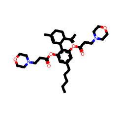 C=C(C)C1CCC(C)=CC1c1c(OC(=O)CCN2CCOCC2)cc(CCCCC)cc1OC(=O)CCN1CCOCC1